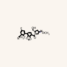 CO/N=C1/C[C@@H](CO)N(C(=O)c2ccc(-c3cc(F)cc(C#N)c3C)c3c2OCO3)C1